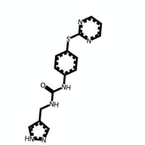 O=C(NCc1cn[nH]c1)Nc1ccc(Sc2ncccn2)cc1